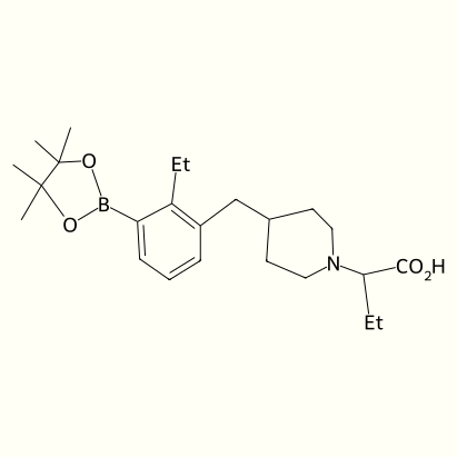 CCc1c(CC2CCN(C(CC)C(=O)O)CC2)cccc1B1OC(C)(C)C(C)(C)O1